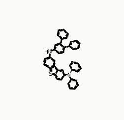 c1ccc(-c2ccc(Nc3ccc4sc5ccc(N(c6ccccc6)c6ccccc6)cc5c4c3)cc2-c2ccccc2)cc1